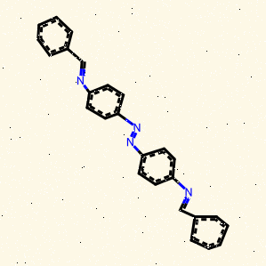 C(=Nc1ccc(/N=N/c2ccc(N=Cc3ccccc3)cc2)cc1)c1ccccc1